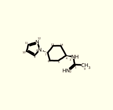 CC(=N)N[C@H]1CC[C@H](n2cccn2)CC1